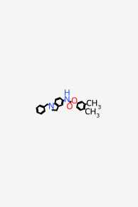 Cc1ccc(OC(=O)Nc2ccc3c(c2)CCN3Cc2ccccc2)cc1C